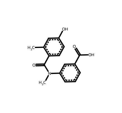 Cc1cc(O)ccc1C(=O)N(C)c1cccc(C(=O)O)c1